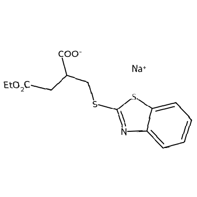 CCOC(=O)CC(CSc1nc2ccccc2s1)C(=O)[O-].[Na+]